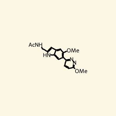 COc1ccc(-c2cc3[nH]c(CNC(C)=O)cc3cc2OC)nn1